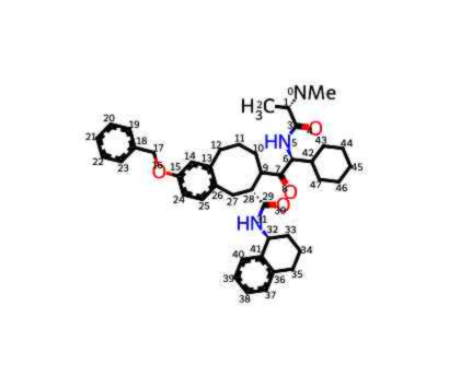 CN[C@@H](C)C(=O)N[C@H](C(=O)C1CCCc2cc(OCc3ccccc3)ccc2C[C@H]1C(=O)N[C@H]1CCCc2ccccc21)C1CCCCC1